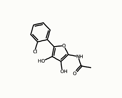 CC(=O)Nc1oc(-c2ccccc2Cl)c(O)c1O